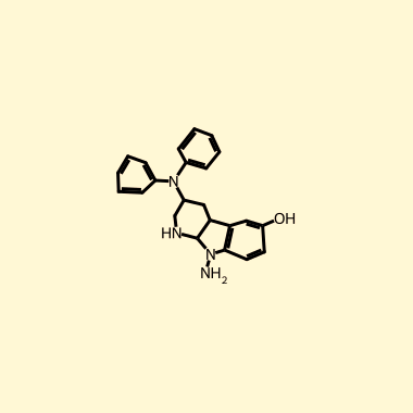 NN1c2ccc(O)cc2C2CC(N(c3ccccc3)c3ccccc3)CNC21